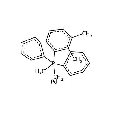 Cc1cccc(P(C)(C)(c2ccccc2)c2ccccc2)c1C.[Pd]